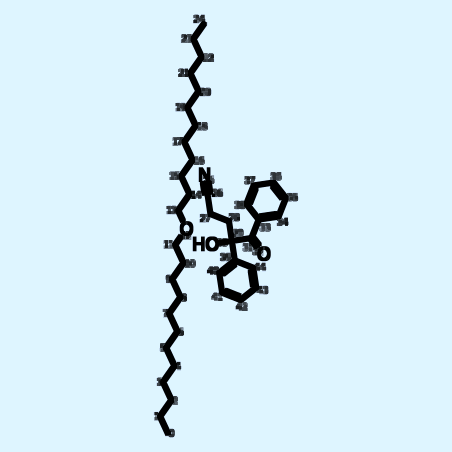 CCCCCCCCCCCCOCCCCCCCCCCCC.N#CCCC(O)(C(=O)c1ccccc1)c1ccccc1